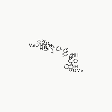 COC(=O)N[C@H](C(=O)N1CC=C[C@H]1c1ncc(-c2ccc(-c3csc4c(-c5c[nH]c(C6CCCN6C(=O)[C@H](NC(=O)OC)c6ccccc6)n5)csc34)cc2)[nH]1)C(C)C